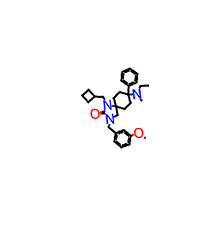 CCN(C)C1(c2ccccc2)CCC2(CC1)CN(Cc1cccc(OC)c1)C(=O)N2CC1CCC1